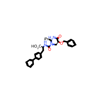 CC(C)CN(C[C@H](OCc1ccccc1)C(N)=O)C(=O)N[C@@H](Cc1ccc(-c2ccccc2)cc1)C(=O)O